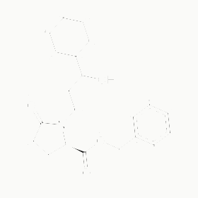 O=C(OCc1ccccc1)[C@H]1CCC(=O)N1CCC(O)C1CCCCC1